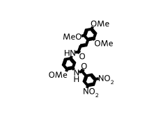 COc1cc(OC)c(C=CC(=O)Nc2ccc(OC)c(NC(=O)c3cc([N+](=O)[O-])cc([N+](=O)[O-])c3)c2)c(OC)c1